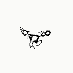 O=c1[nH]nc(-c2ccncc2)cc1-c1cc2ccccc2[nH]1